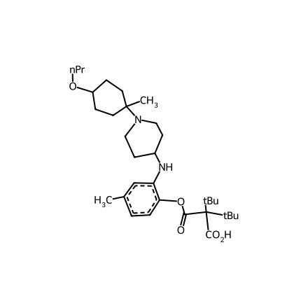 CCCOC1CCC(C)(N2CCC(Nc3cc(C)ccc3OC(=O)C(C(=O)O)(C(C)(C)C)C(C)(C)C)CC2)CC1